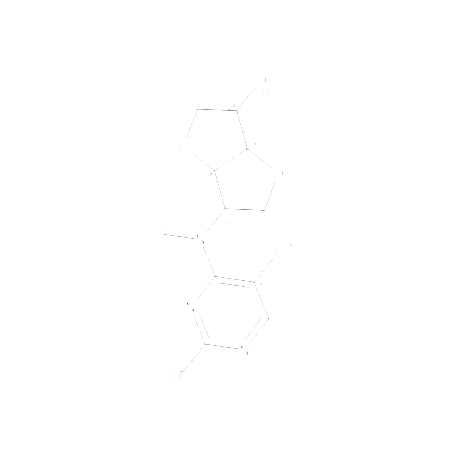 CN(c1nc(Cl)ncc1Cl)C1COC2C(O)COC21